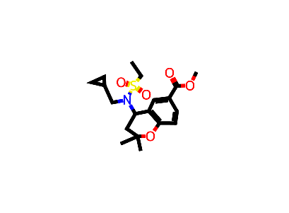 CCS(=O)(=O)N(CC1CC1)C1CC(C)(C)Oc2ccc(C(=O)OC)cc21